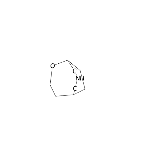 C1CC2CCC(CNC2)O1